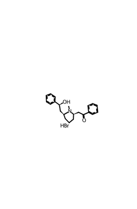 Br.CN1[C@@H](CC(=O)c2ccccc2)CCC[C@H]1C[C@H](O)c1ccccc1